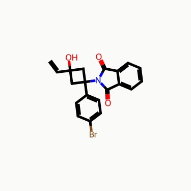 C=CC1(O)CC(c2ccc(Br)cc2)(N2C(=O)c3ccccc3C2=O)C1